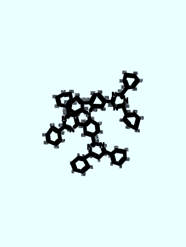 c1ccc(-c2cc(-c3ccccc3)nc(-c3ccc(-n4c5ccccc5c5ccc(-c6nc(-c7ccccc7)nc(-c7ccccc7)n6)cc54)c(-c4nc(-c5ccccc5)nc(-c5ccccc5)n4)c3)n2)cc1